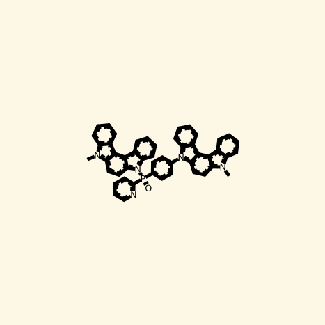 Cn1c2ccccc2c2c3c4ccccc4n(-c4ccc(P(=O)(c5ccccn5)n5c6ccccc6c6c7c8ccccc8n(C)c7ccc65)cc4)c3ccc21